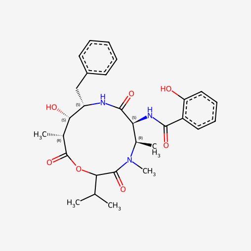 CC(C)C1OC(=O)[C@H](C)[C@H](O)[C@H](Cc2ccccc2)NC(=O)[C@@H](NC(=O)c2ccccc2O)[C@@H](C)N(C)C1=O